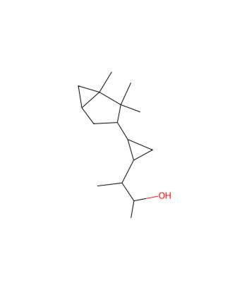 CC(O)C(C)C1CC1C1CC2CC2(C)C1(C)C